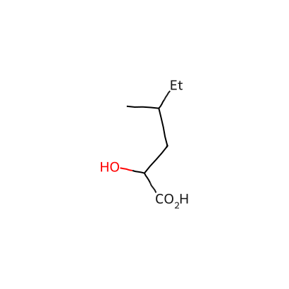 CCC(C)CC(O)C(=O)O